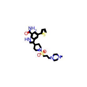 CN1CCN(CCCS(=O)(=O)N2CCC(c3c[nH]c4c(C(N)=O)cc(-c5cccs5)cc34)CC2)CC1